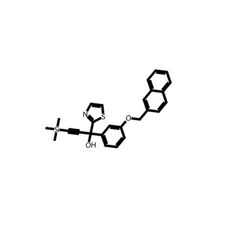 C[Si](C)(C)C#CC(O)(c1cccc(OCc2ccc3ccccc3c2)c1)c1nccs1